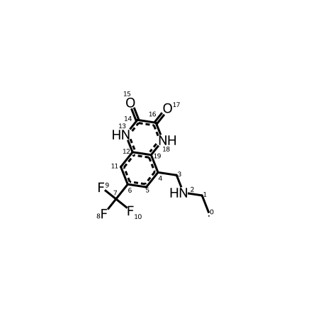 [CH2]CNCc1cc(C(F)(F)F)cc2[nH]c(=O)c(=O)[nH]c12